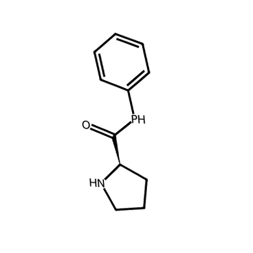 O=C(Pc1ccccc1)[C@H]1CCCN1